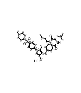 CCCCN1C(=O)[C@H](CC(C)C)NC(=O)C12CCN(Cc1c(C)nn(-c3ccc(S(=O)(=O)N4CCN(C)CC4)cc3)c1C)CC2.Cl